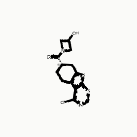 O=C([C@H]1CCc2c(sc3ncnc(Cl)c23)C1)N1CC(O)C1